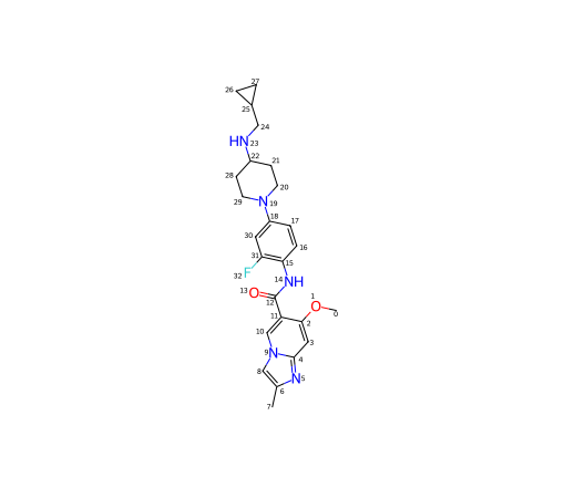 COc1cc2nc(C)cn2cc1C(=O)Nc1ccc(N2CCC(NCC3CC3)CC2)cc1F